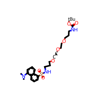 CN(C)c1cccc2c(S(=O)(=O)NCCCOCCOCCOCCCNC(=O)OC(C)(C)C)cccc12